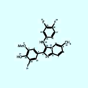 COc1cc(-c2nc3ccc(C)cn3c2Nc2ccc(F)c(F)c2)cc(F)c1O